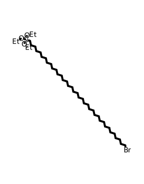 CCO[Si](CCCCCCCCCCCCCCCCCCCCCCCCCCCCCCCCCCCCCBr)(OCC)OCC